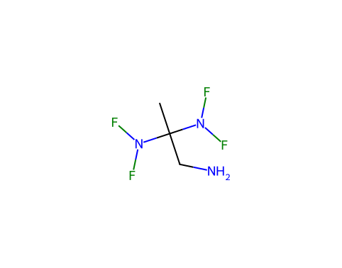 CC(CN)(N(F)F)N(F)F